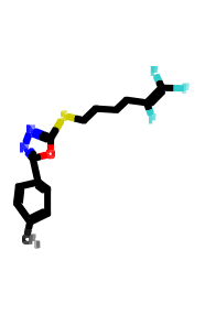 FC(F)=C(F)CCCCSc1nnc(-c2ccc(C(F)(F)F)cc2)o1